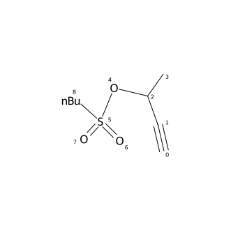 C#CC(C)OS(=O)(=O)CCCC